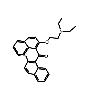 CCN(CC)CCOc1ccc2ccccc2c1C(=O)c1c(OC)ccc2ccccc12